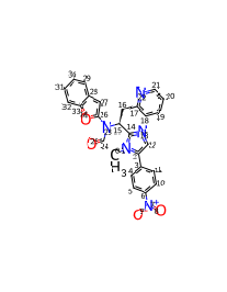 Cn1c(-c2ccc([N+](=O)[O-])cc2)cnc1[C@H](Cc1ccccn1)N(C=O)c1cc2ccccc2o1